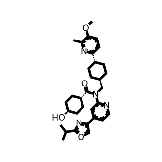 COc1ccc([C@H]2CC[C@H](CN(c3cc(-c4coc(C(C)C)n4)ccn3)C(=O)[C@H]3CC[C@H](O)CC3)CC2)nc1C